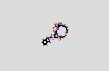 O=C1N[C@]2(C(=O)O)C[C@H]2/C=C\CCCOCCC(=O)N2C[C@H](OC(=O)N3Cc4cccc(F)c4C3)C[C@@H]12